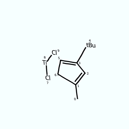 CC1=CC(C(C)(C)C)=C[CH]1.[Cl][Ti][Cl]